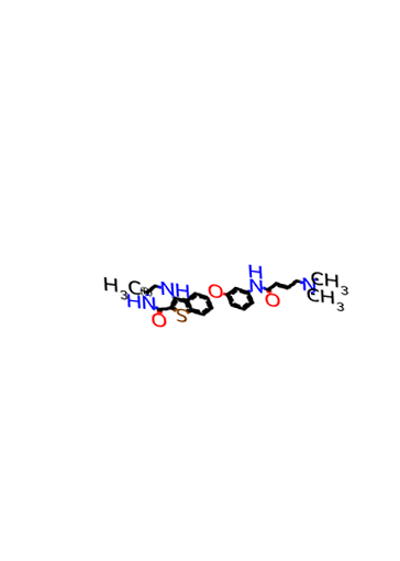 C[C@@H]1CNc2c(sc3ccc(Oc4cccc(NC(=O)C=CCN(C)C)c4)cc23)C(=O)N1